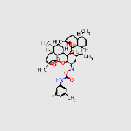 Cc1cc(F)cc(NC(=O)O/N=C(/C[C@H]2O[C@@H]3C[C@]4(C)CC[C@H]5[C@H](C)CC[C@@H]([C@H]2C)[C@@]35OO4)[C@H]2O[C@@H]3C[C@]4(C)CC[C@H]5[C@H](C)CC[C@@H]([C@H]2C)[C@@]35OO4)c1